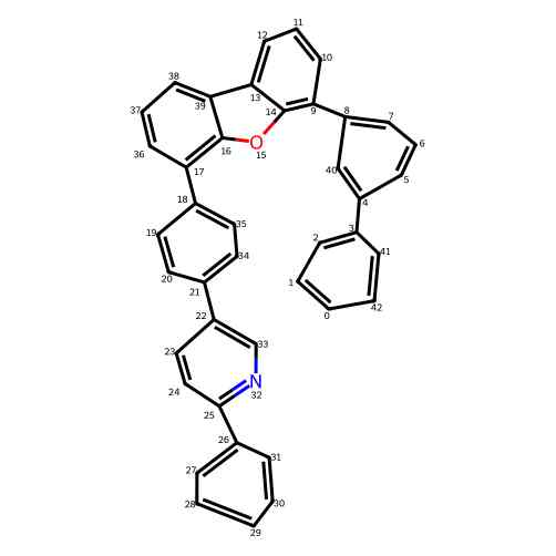 c1ccc(-c2cccc(-c3cccc4c3oc3c(-c5ccc(-c6ccc(-c7ccccc7)nc6)cc5)cccc34)c2)cc1